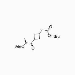 CON(C)C(=O)C1CC(CC(=O)OC(C)(C)C)C1